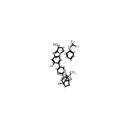 COC(=O)[C@@H]1[C@@H]2CC[C@H]1CN(c1ncc(-c3cc4c(cc3F)nc3n4[C@@H](c4ccccc4OC(F)F)C[C@H]3O)cn1)C2